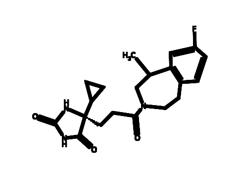 CC1CN(C(=O)CC[C@@]2(C3CC3)NC(=O)NC2=O)CCc2ccc(F)cc21